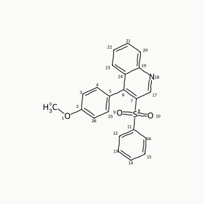 COc1ccc(-c2c(S(=O)(=O)c3ccccc3)cnc3ccccc23)cc1